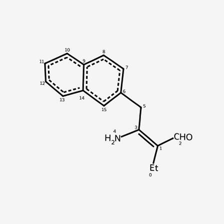 CC/C(C=O)=C(\N)Cc1ccc2ccccc2c1